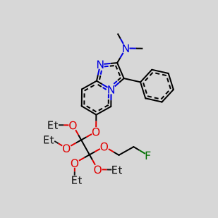 CCOC(OCC)(OCCF)C(OCC)(OCC)Oc1ccc2nc(N(C)C)c(-c3ccccc3)n2c1